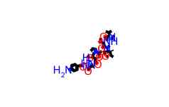 CC[C@H](C)[C@@H]([C@@H](CC(=O)N1CCC[C@H]1[C@H](OC)[C@@H](C)C(=O)N[C@@H](C)C(=O)NOCc1ccc(N)cc1)OC)N(C)C(=O)[C@@H](NC(=O)[C@H](C(C)C)N(C)C)C(C)C